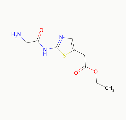 CCOC(=O)Cc1cnc(NC(=O)CN)s1